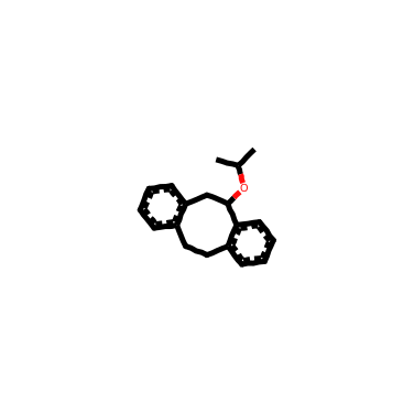 CC(C)OC1Cc2ccccc2CCc2ccccc21